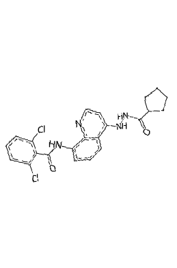 O=C(Nc1cccc2c(NNC(=O)C3CCCC3)ccnc12)c1c(Cl)cccc1Cl